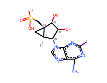 Nc1nc(I)nc2c1ncn2[C@H]1[C@H](O)[C@H](O)[C@@]2(CP(=O)(O)O)C[C@H]12